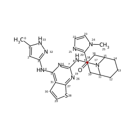 Cc1cc(Nc2nc(NC3CC4CCCC(C3)N4C(=O)c3nccn3C)nc3sccc23)n[nH]1